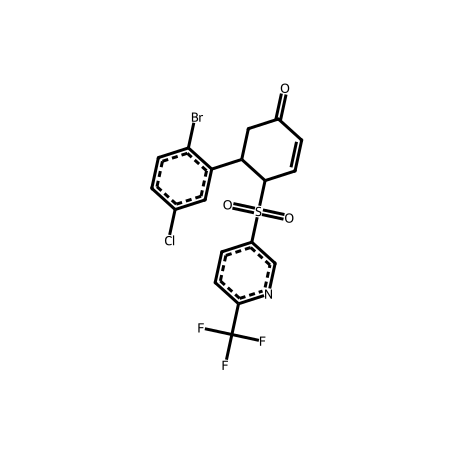 O=C1C=CC(S(=O)(=O)c2ccc(C(F)(F)F)nc2)C(c2cc(Cl)ccc2Br)C1